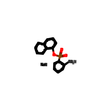 O=S(=O)(O)c1ccccc1S(=O)(=O)Oc1cccc2ccccc12.[NaH]